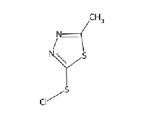 Cc1nnc(SCl)s1